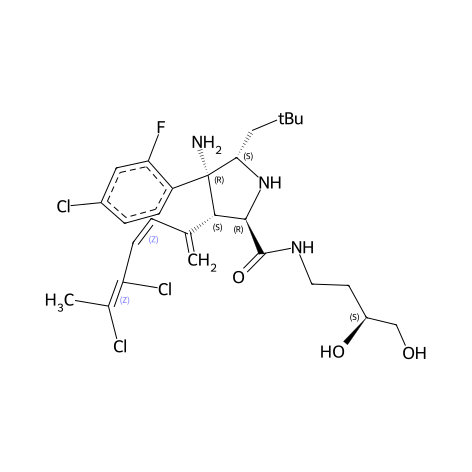 C=C(/C=C\C(Cl)=C(/C)Cl)[C@H]1[C@H](C(=O)NCC[C@H](O)CO)N[C@@H](CC(C)(C)C)[C@]1(N)c1ccc(Cl)cc1F